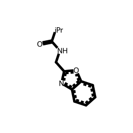 CC(C)C(=O)NCc1nc2ccccc2o1